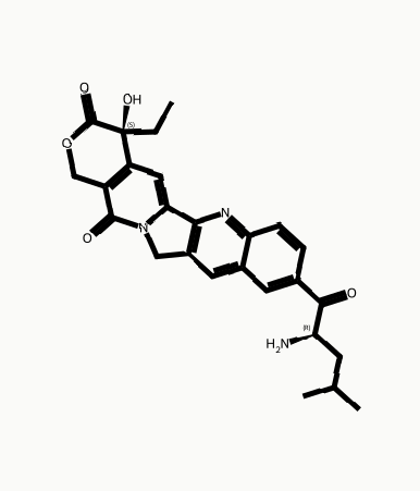 CC[C@@]1(O)C(=O)OCc2c1cc1n(c2=O)Cc2cc3cc(C(=O)[C@H](N)CC(C)C)ccc3nc2-1